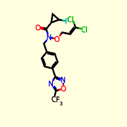 O=C(C1CC1F)N(Cc1ccc(-c2noc(C(F)(F)F)n2)cc1)OCC=C(Cl)Cl